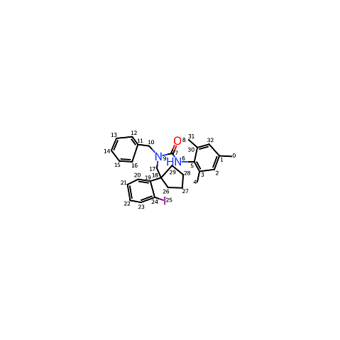 Cc1cc(C)c(NC(=O)N(Cc2ccccc2)CC2(c3ccccc3I)CCCC2)c(C)c1